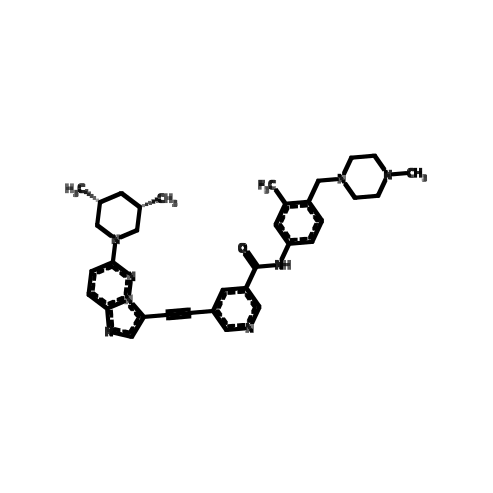 C[C@@H]1C[C@H](C)CN(c2ccc3ncc(C#Cc4cncc(C(=O)Nc5ccc(CN6CCN(C)CC6)c(C(F)(F)F)c5)c4)n3n2)C1